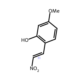 COc1ccc(/C=C/[N+](=O)[O-])c(O)c1